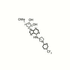 COC[C@H]1C[C@@H](n2cnc3c(N[C@H]4CCN(c5ccc(C(F)(F)F)cn5)C4)ncnc32)[C@@H](O)[C@H]1O